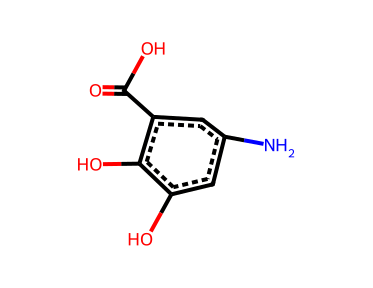 Nc1cc(O)c(O)c(C(=O)O)c1